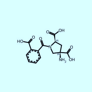 N[C@]1(C(=O)O)C[C@H](C(=O)O)N(C(=O)c2ccccc2C(=O)O)C1